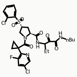 CCCCNC(=O)C(=O)C(CC)NC(=O)[C@@H]1C[C@@H](S(=O)(=O)c2ccccc2Cl)CN1C(=O)C1(c2ncc(Cl)cc2F)CC1